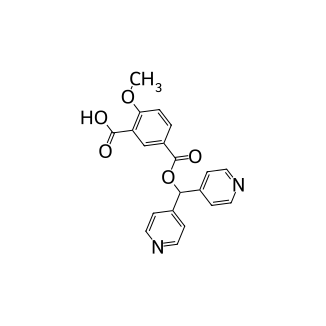 COc1ccc(C(=O)OC(c2ccncc2)c2ccncc2)cc1C(=O)O